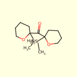 C[SiH2]C1(C(=O)C2([SiH2]C)CCCCO2)CCCCO1